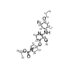 CCCOc1cc(C)c(Nc2nccc(OC3CCN(C(=O)OC(C)C)CC3)c2OC)cc1F